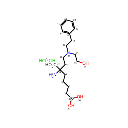 Cl.Cl.NC(CCCCB(O)O)(CCN(CCO)CCc1ccccc1)C(=O)O